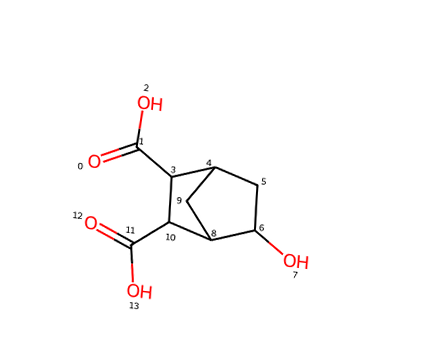 O=C(O)C1C2CC(O)C(C2)C1C(=O)O